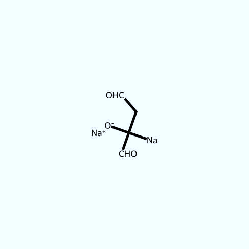 O=CC[C]([O-])([Na])C=O.[Na+]